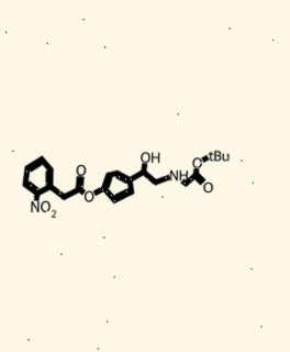 CC(C)(C)OC(=O)CNCC(O)c1ccc(OC(=O)Cc2ccccc2[N+](=O)[O-])cc1